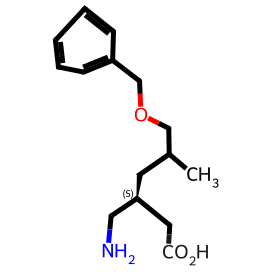 CC(COCc1ccccc1)C[C@H](CN)CC(=O)O